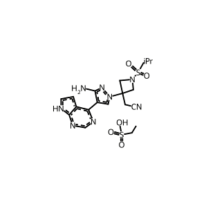 CC(C)S(=O)(=O)N1CC(CC#N)(n2cc(-c3ncnc4[nH]ccc34)c(N)n2)C1.CCS(=O)(=O)O